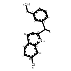 CC(c1cccc(CO)c1)c1ccc2ccc(Cl)cc2n1